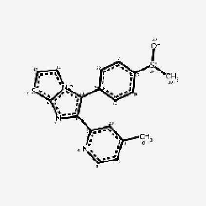 Cc1ccnc(-c2nc3sccn3c2-c2ccc([S+](C)[O-])cc2)c1